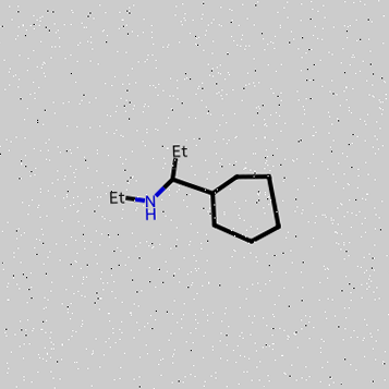 [CH2]CNC(CC)C1CCCCC1